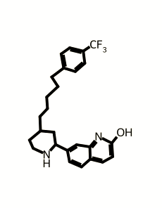 Oc1ccc2ccc(C3CC(CCCCCc4ccc(C(F)(F)F)cc4)CCN3)cc2n1